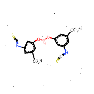 O=C(O)c1cc(N=C=S)cc(OBOc2cc(N=C=S)cc(C(=O)O)c2)c1